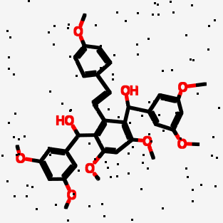 COc1ccc(/C=C/c2c(C(O)c3cc(OC)cc(OC)c3)c(OC)cc(OC)c2C(O)c2cc(OC)cc(OC)c2)cc1